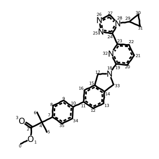 COC(=O)C(C)(C)c1ccc(-c2ccc3c(c2)CN(c2cccc(-c4nncn4C4CC4)n2)C3)cc1